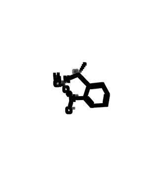 C[C@@H](N)c1ccccc1[N+](=O)[O-].Cl